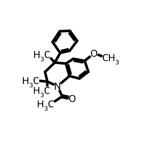 COc1ccc2c(c1)C(C)(c1ccccc1)CC(C)(C)N2C(C)=O